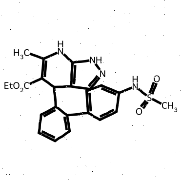 CCOC(=O)C1=C(C)Nc2[nH]ncc2C1c1ccccc1-c1ccc(NS(C)(=O)=O)cc1